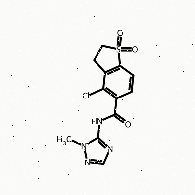 Cn1ncnc1NC(=O)c1ccc2c(c1Cl)CCS2(=O)=O